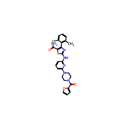 Cc1cccc(Cl)c1-c1nc(Nc2cccc(N3CCN(C(=O)c4ccco4)CC3)n2)sc1C(N)=O